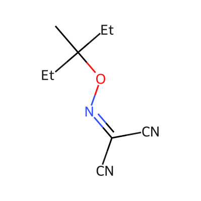 CCC(C)(CC)ON=C(C#N)C#N